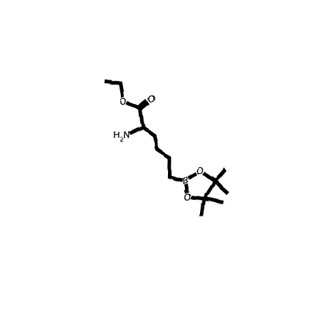 CCOC(=O)C(N)CCCCB1OC(C)(C)C(C)(C)O1